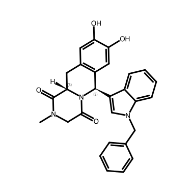 CN1CC(=O)N2[C@H](c3cn(Cc4ccccc4)c4ccccc34)c3cc(O)c(O)cc3C[C@H]2C1=O